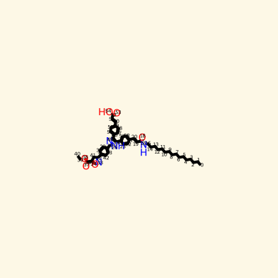 CCCCCCCCCCCCCCCCNC(=O)/C=C/c1ccc(-c2[nH]c(-c3ccc(C4=NOC(C(=O)OCC)C4)cc3)nc2-c2ccc(/C=C/C(=O)O)cc2)cc1